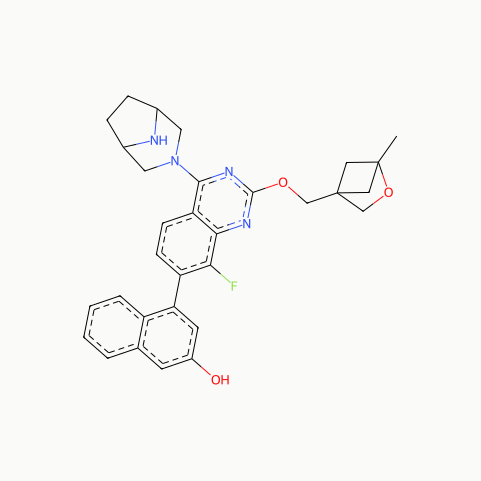 CC12CC(COc3nc(N4CC5CCC(C4)N5)c4ccc(-c5cc(O)cc6ccccc56)c(F)c4n3)(CO1)C2